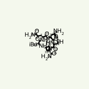 CC[C@H](C)[C@H](N)C(=O)N[C@@H](CCC(N)=O)C(=O)N[C@@H](CC(N)=O)C(=O)N[C@@H](CS)C(=O)N1CCC[C@H]1C(N)=O